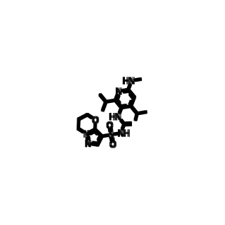 C=C(Nc1c(C(C)C)cc(NC)nc1C(C)C)NS(=O)(=O)c1cnn2c1OCCC2